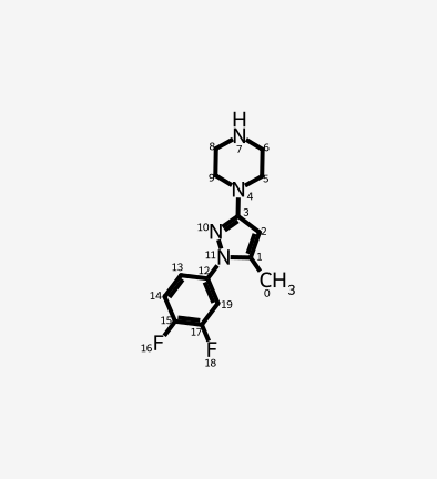 Cc1cc(N2CCNCC2)nn1-c1ccc(F)c(F)c1